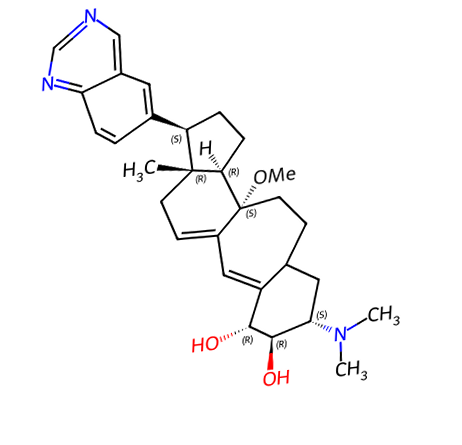 CO[C@]12CCC3C[C@H](N(C)C)[C@@H](O)[C@H](O)C3=CC1=CC[C@]1(C)[C@@H](c3ccc4ncncc4c3)CC[C@H]12